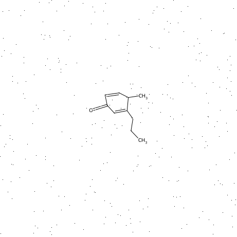 CCCC1=CC(=O)C=CC1C